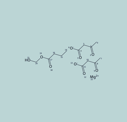 CC(=O)CC(=O)[O-].CC(=O)CC(=O)[O-].CCCC(=O)OCO.[Mg+2]